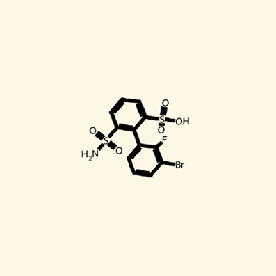 NS(=O)(=O)c1cccc(S(=O)(=O)O)c1-c1cccc(Br)c1F